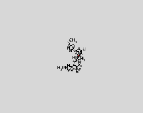 CCc1nnc([C@]23C[C@H](C)C[C@H](C2)N3C(=O)Nc2cc(-c3ncn(C)n3)c(C(F)(F)F)cn2)o1